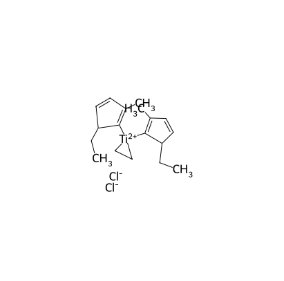 CCC1C=CC(C)=[C]1[Ti+2]1([C]2=C(C)C=CC2CC)[CH2][CH2]1.[Cl-].[Cl-]